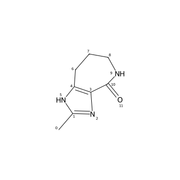 Cc1nc2c([nH]1)CCCNC2=O